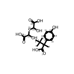 CC(C)(C)C(C)(C(=O)O)c1ccc(O)cc1.O=C(O)C(O)SC(O)C(=O)O